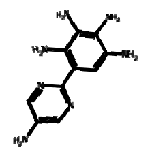 Nc1cnc(-c2cc(N)c(N)c(N)c2N)nc1